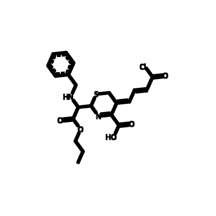 CCCOC(=O)C(NCc1ccccc1)C1N=C(C(=O)O)/C(=C/C=C/C(=O)Cl)CS1